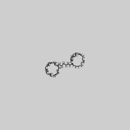 C1CCCCCCCC(CCCCCCC2CCCCCCCCCCCCCCC2)CCCCCCC1